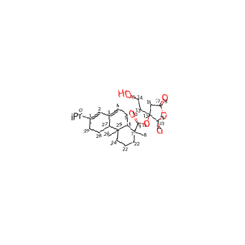 CC(C)C1=CC2=CCC3C(C)(C(=O)OC4(CCO)CC(=O)OC4=O)CCCC3(C)C2CC1